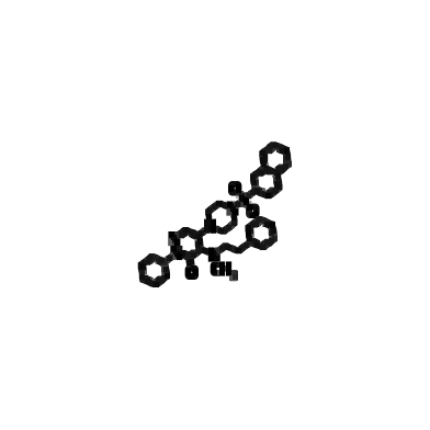 CN(CCc1ccccc1)c1c(N2CCN(S(=O)(=O)c3ccc4ccccc4c3)CC2)cnn(-c2ccccc2)c1=O